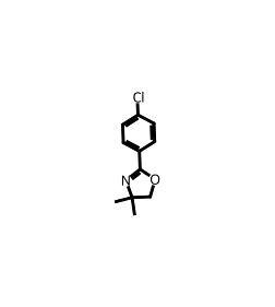 CC1(C)COC(c2ccc(Cl)cc2)=N1